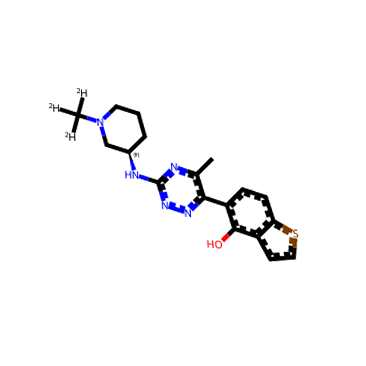 [2H]C([2H])([2H])N1CCC[C@@H](Nc2nnc(-c3ccc4sccc4c3O)c(C)n2)C1